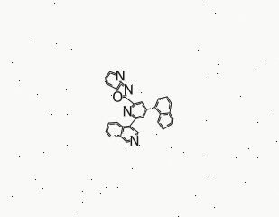 c1ccc2c(-c3cc(-c4nc5ncccc5o4)nc(-c4cncc5ccccc45)c3)cccc2c1